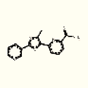 Cc1nc(-c2cccnc2)sc1-c1cccc(C(N)=S)n1